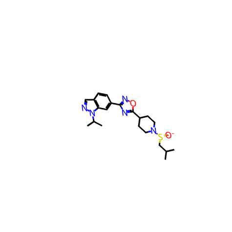 CC(C)C[S+]([O-])N1CCC(c2nc(-c3ccc4cnn(C(C)C)c4c3)no2)CC1